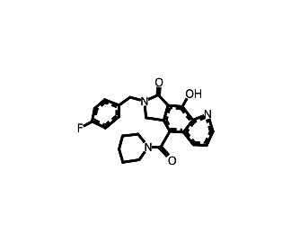 O=C1c2c(c(C(=O)N3CCCCC3)c3cccnc3c2O)CN1Cc1ccc(F)cc1